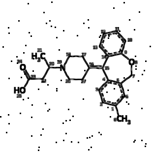 Cc1ccc2c(c1)COc1ccccc1C2=C1CCN(C(C)CC(=O)O)CC1